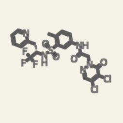 Cc1ccc(NC(=O)Cn2ncc(Cl)c(Cl)c2=O)cc1S(=O)(=O)N[C@@H](Cc1ccccn1)C(F)(F)F